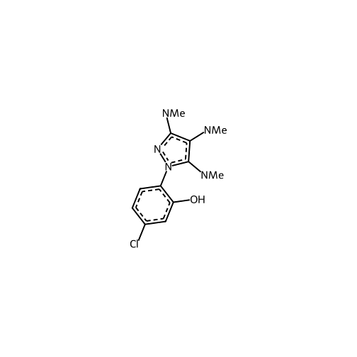 CNc1nn(-c2ccc(Cl)cc2O)c(NC)c1NC